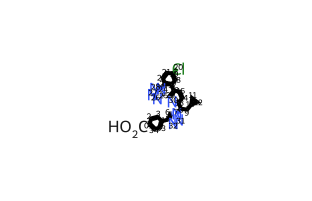 O=C(O)c1ccc(-c2cn(C(CC3CC3)c3ccc(-c4cc(Cl)ccc4-n4cnnn4)cn3)nn2)cc1